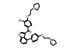 O=C(c1ccc(OCCN2CCCC2)c(Br)c1)c1csc2cccc(-c3ccc(OCCN4CCCC4)cc3)c12